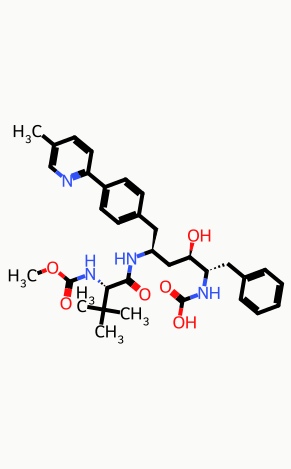 COC(=O)N[C@H](C(=O)N[C@@H](Cc1ccc(-c2ccc(C)cn2)cc1)C[C@@H](O)[C@H](Cc1ccccc1)NC(=O)O)C(C)(C)C